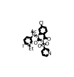 CC[n+]1cccc(N(C(C)=O)n2c(=O)n(S(=O)(=O)c3cccnc3)c(=O)c3ccc(Cl)cc32)c1.[I-]